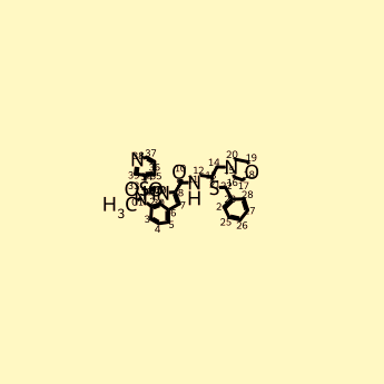 CN(c1cccc2cc(C(=O)NCC(CN3CCOCC3)SCc3ccccc3)[nH]c12)S(=O)(=O)c1cccnc1